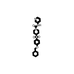 O=C(Nc1cccnc1)N1CCC(S(=O)(=O)c2ccc(OCC3CCCCC3)cc2)CC1